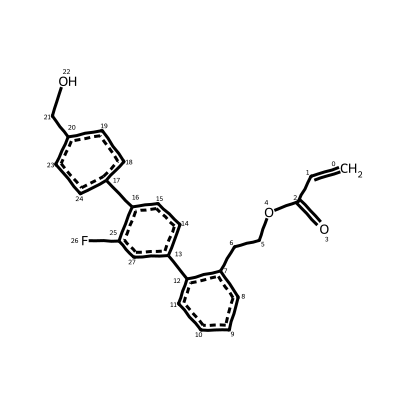 C=CC(=O)OCCc1ccccc1-c1ccc(-c2ccc(CO)cc2)c(F)c1